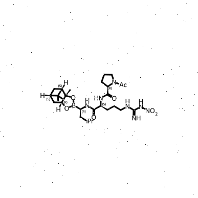 CC(=O)N1CCC[C@@H]1C(=O)N[C@@H](CCCNC(=N)N[N+](=O)[O-])C(=O)N[C@@H](CC(C)C)B1O[C@@H]2C[C@@H]3C[C@@H](C3(C)C)[C@]2(C)O1